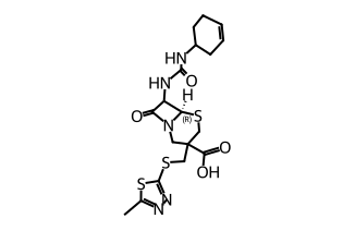 Cc1nnc(SCC2(C(=O)O)CS[C@@H]3C(NC(=O)NC4CC=CCC4)C(=O)N3C2)s1